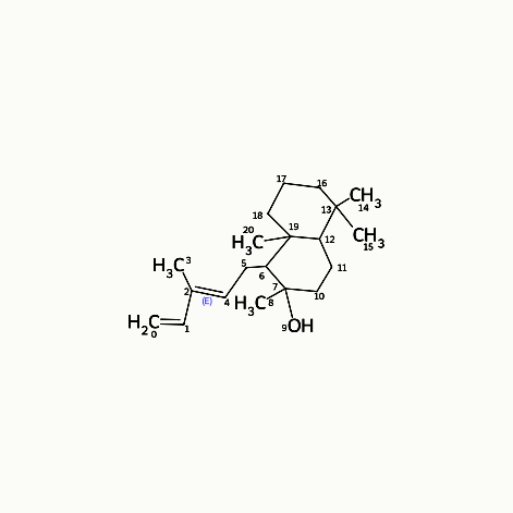 C=C/C(C)=C/CC1C(C)(O)CCC2C(C)(C)CCCC21C